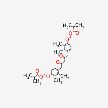 C=C(C)C(=O)OCOc1ccc(CC(=O)CC(=O)Cc2ccc(OCOC(=O)C(=C)C)c(C)c2C)c(C)c1C